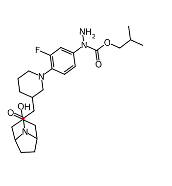 CC(C)COC(=O)N(N)c1ccc(N2CCCC(CC(=O)N3C4CCC3CC(O)C4)C2)c(F)c1